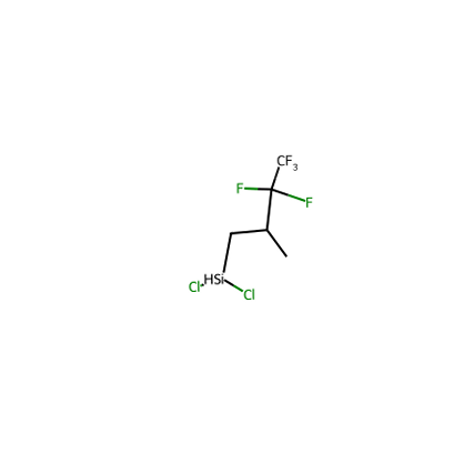 CC(C[SiH](Cl)Cl)C(F)(F)C(F)(F)F